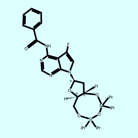 CC(C)[Si]1(C(C)C)OC[C@H]2O[C@@H](n3cc(F)c4c(NC(=O)c5ccccc5)ncnc43)C[C@@H]2O[Si](C(C)C)(C(C)C)O1